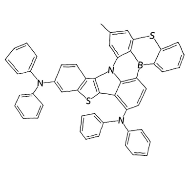 Cc1cc2c3c(c1)-n1c4c(ccc(N(c5ccccc5)c5ccccc5)c4c4sc5cc(N(c6ccccc6)c6ccccc6)ccc5c41)B3c1ccccc1S2